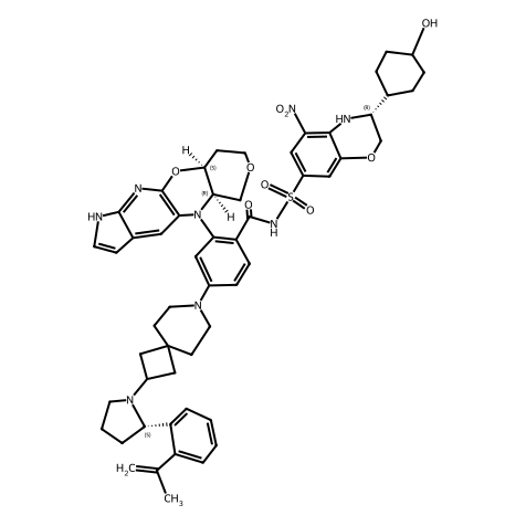 C=C(C)c1ccccc1[C@@H]1CCCN1C1CC2(CCN(c3ccc(C(=O)NS(=O)(=O)c4cc5c(c([N+](=O)[O-])c4)N[C@H](C4CCC(O)CC4)CO5)c(N4c5cc6cc[nH]c6nc5O[C@H]5CCOC[C@H]54)c3)CC2)C1